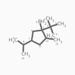 BC1(C(C)(C)C)CC(C(C)C)CC1C